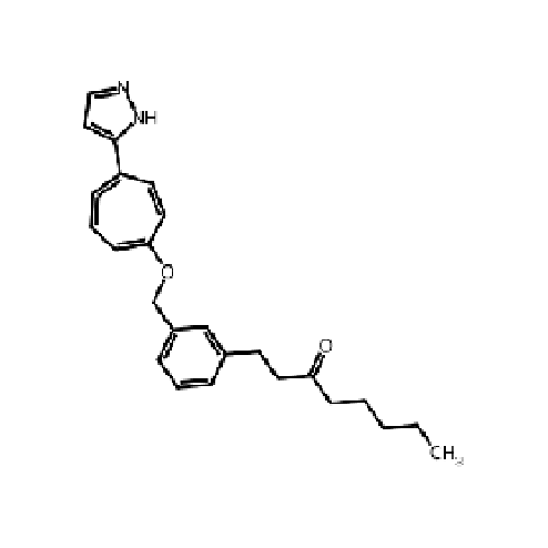 CCCCCC(=O)CCc1cccc(COC2=CC=C=C(c3ccn[nH]3)C=C2)c1